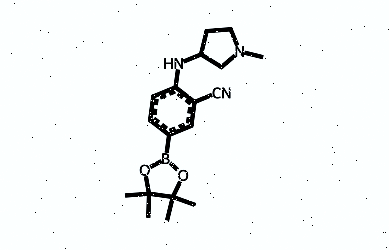 CN1CCC(Nc2ccc(B3OC(C)(C)C(C)(C)O3)cc2C#N)C1